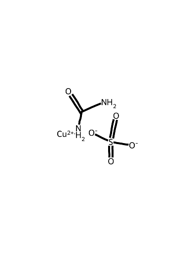 NC(N)=O.O=S(=O)([O-])[O-].[Cu+2]